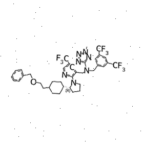 Cn1nnc(N(Cc2cc(C(F)(F)F)cc(C(F)(F)F)c2)Cc2cc(C(F)(F)F)cnc2N2CCC[C@@H]2C2CCC(CCOCc3ccccc3)CC2)n1